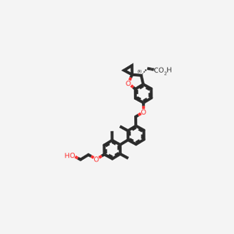 Cc1cc(OCCO)cc(C)c1-c1cccc(COc2ccc3c(c2)OC2(CC2)[C@@H]3CC(=O)O)c1C